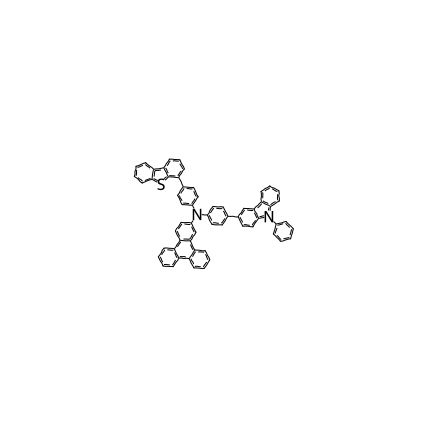 c1ccc(-n2c3ccccc3c3cc(-c4ccc(N(c5ccc(-c6cccc7c6sc6ccccc67)cc5)c5ccc6c7ccccc7c7ccccc7c6c5)cc4)ccc32)cc1